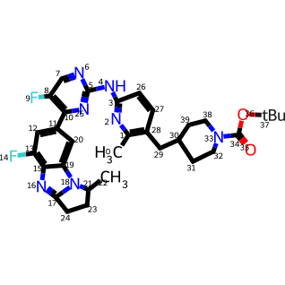 Cc1nc(Nc2ncc(F)c(-c3cc(F)c4nc5n(c4c3)C(C)CC5)n2)ccc1CC1CCN(C(=O)OC(C)(C)C)CC1